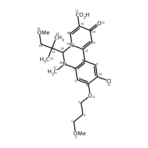 COCCCOc1cc2c(cc1Cl)-c1cc(=O)c(C(=O)O)cn1C(C(C)(C)COC)N2C